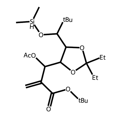 C=C(C(=O)OC(C)(C)C)C(OC(C)=O)C1OC(CC)(CC)OC1C(O[SiH](C)C)C(C)(C)C